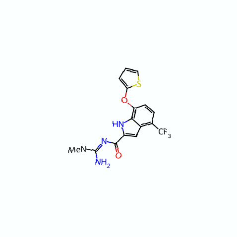 CNC(N)=NC(=O)c1cc2c(C(F)(F)F)ccc(Oc3cccs3)c2[nH]1